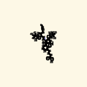 CC#CCC(C)C(/C=C/[C@@H]1[C@H]2c3cccc(CCCC(=O)OC)c3O[C@H]2C[C@H]1O[Si](C)(C)C(C)(C)C)O[Si](C)(C)C(C)(C)C